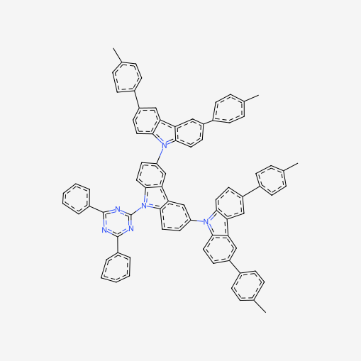 Cc1ccc(-c2ccc3c(c2)c2cc(-c4ccc(C)cc4)ccc2n3-c2ccc3c(c2)c2cc(-n4c5ccc(-c6ccc(C)cc6)cc5c5cc(-c6ccc(C)cc6)ccc54)ccc2n3-c2nc(-c3ccccc3)nc(-c3ccccc3)n2)cc1